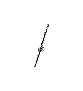 CCCCCCCC=CCCCCCCCCC(=O)OCCCCCCCCCCCC